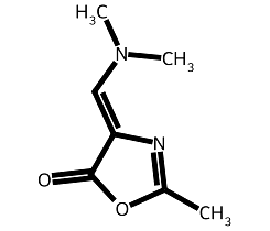 CC1=NC(=CN(C)C)C(=O)O1